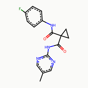 Cc1cnc(NC(=O)C2(C(=O)Nc3ccc(F)cc3)CC2)nc1